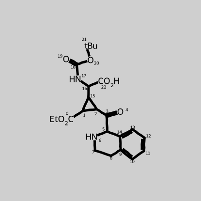 CCOC(=O)C1C(C(=O)C2NCCc3ccccc32)C1C(NC(=O)OC(C)(C)C)C(=O)O